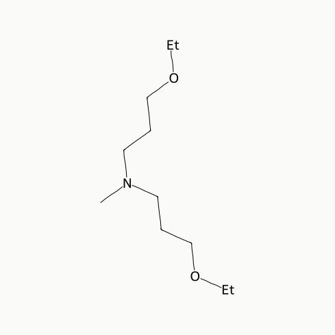 CCOCCCN(C)CCCOCC